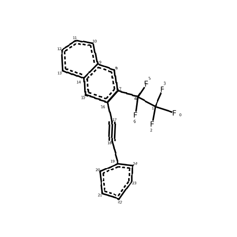 FC(F)(F)C(F)(F)c1cc2ccccc2cc1C#Cc1ccccc1